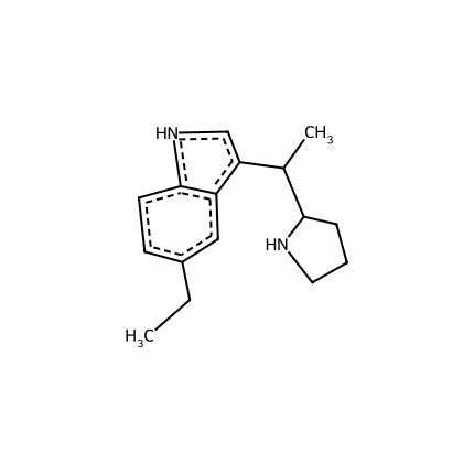 CCc1ccc2[nH]cc(C(C)C3CCCN3)c2c1